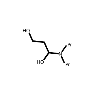 CC(C)N(C(C)C)C(O)CCO